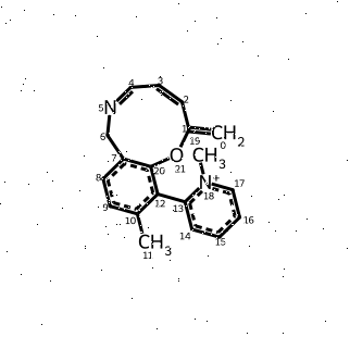 C=C1/C=C\C=N/Cc2ccc(C)c(-c3cccc[n+]3C)c2O1